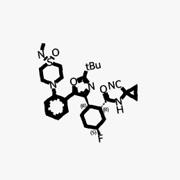 CN=S1(=O)CCN(c2ccccc2-c2oc(C(C)(C)C)nc2[C@@H]2CC[C@H](F)C[C@H]2C(=O)NC2(C#N)CC2)CC1